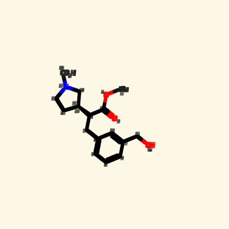 CC(C)(C)OC(=O)C(Cc1cccc(CO)c1)[C@H]1CCN(C(=O)O)C1